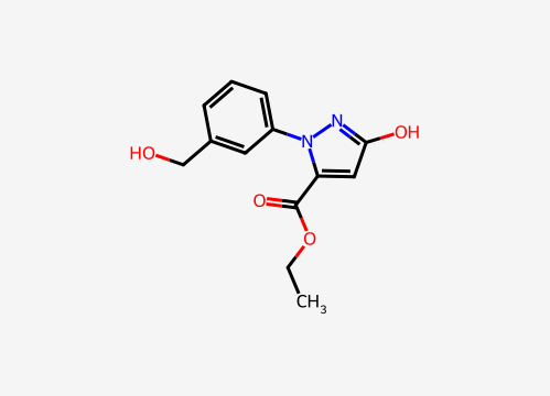 CCOC(=O)c1cc(O)nn1-c1cccc(CO)c1